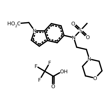 CS(=O)(=O)N(CCN1CCOCC1)c1ccc2c(ccn2CC(=O)O)c1.O=C(O)C(F)(F)F